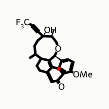 COc1ccc([C@@H]2OC[C@H](C)[C@](O)(C#CC(F)(F)F)CCC(C)C3CCC4=CC(=O)CCC4=C32)cc1